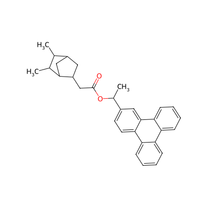 CC(OC(=O)CC1CC2CC1C(C)C2C)c1ccc2c3ccccc3c3ccccc3c2c1